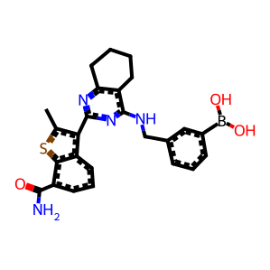 Cc1sc2c(C(N)=O)cccc2c1-c1nc2c(c(NCc3cccc(B(O)O)c3)n1)CCCC2